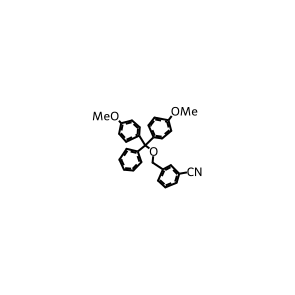 COc1ccc(C(OCc2cccc(C#N)c2)(c2ccccc2)c2ccc(OC)cc2)cc1